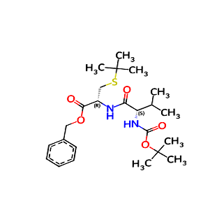 CC(C)[C@H](NC(=O)OC(C)(C)C)C(=O)N[C@@H](CSC(C)(C)C)C(=O)OCc1ccccc1